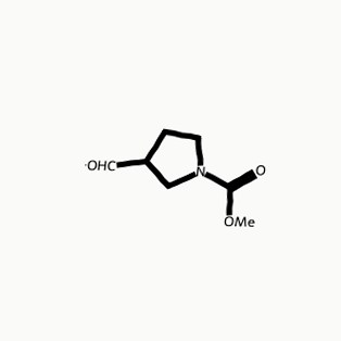 COC(=O)N1CCC([C]=O)C1